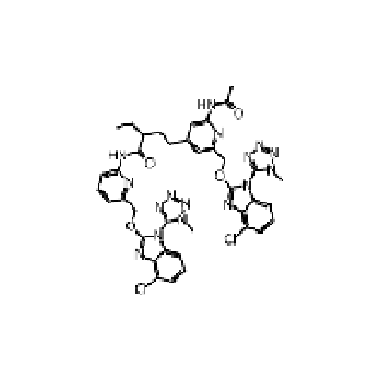 CCC(CCc1cc(COc2nc3c(Cl)cccc3n2-c2nnnn2C)nc(NC(C)=O)c1)C(=O)Nc1cccc(COc2nc3c(Cl)cccc3n2-c2nnnn2C)n1